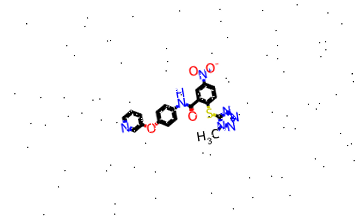 Cn1nnnc1Sc1ccc([N+](=O)[O-])cc1C(=O)Nc1ccc(Oc2cccnc2)cc1